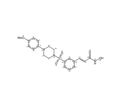 COc1ccc(N2CCN(S(=O)(=O)c3cccc(C=CC(=O)NO)c3)CC2)cc1